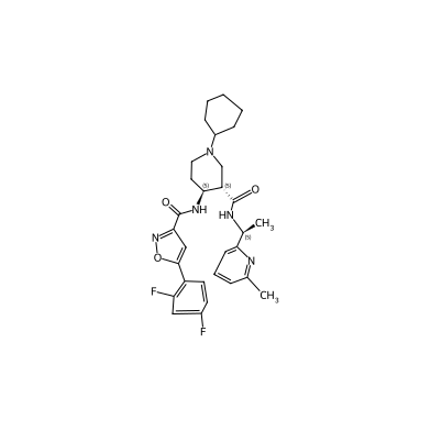 Cc1cccc([C@H](C)NC(=O)[C@H]2CN(C3CCCCC3)CC[C@@H]2NC(=O)c2cc(-c3ccc(F)cc3F)on2)n1